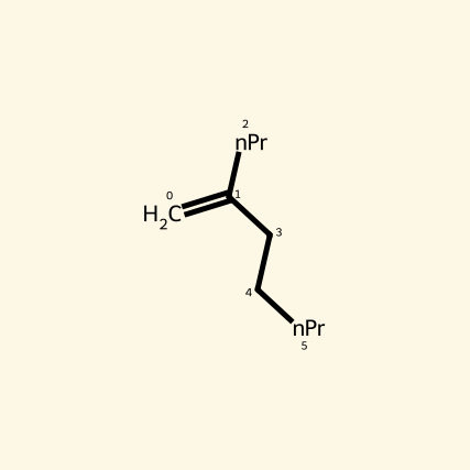 C=C(CCC)CCCCC